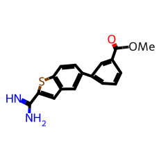 COC(=O)c1cccc(-c2ccc3sc(C(=N)N)cc3c2)c1